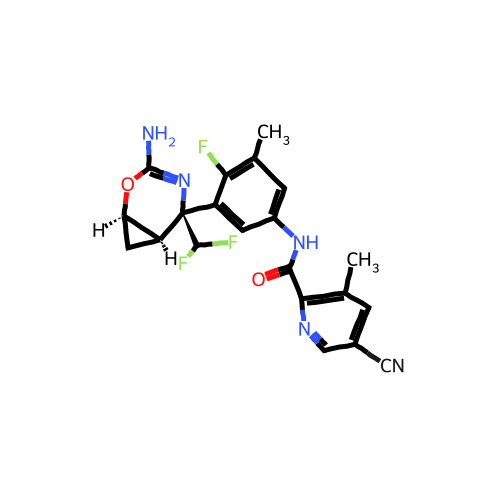 Cc1cc(C#N)cnc1C(=O)Nc1cc(C)c(F)c([C@@]2(C(F)F)N=C(N)O[C@@H]3C[C@@H]32)c1